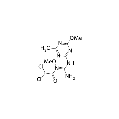 COc1nc(C)nc(NC(N)=[N+](OC)C(=O)C(Cl)Cl)n1